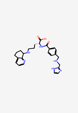 O=C(N[C@H](CCCNC1CCCc2cccnc21)C(=O)O)c1ccc(CNCc2ncc[nH]2)cc1